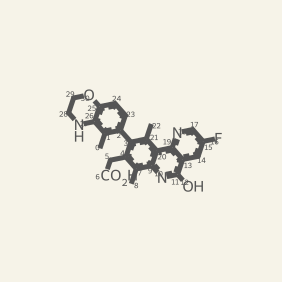 Cc1c(-c2c(CC(=O)O)c(C)c3nc(O)c4cc(F)cnc4c3c2C)ccc2c1NCCO2